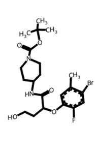 Cc1cc(OC(CCO)C(=O)NC2CCN(C(=O)OC(C)(C)C)CC2)c(F)cc1Br